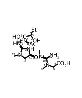 CC(N)=O.CCC(O)C(=O)O.CN(CC(=O)O)C(=N)N.CN1CC(=O)NC1=N